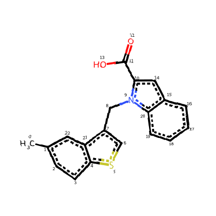 Cc1ccc2scc(Cn3c(C(=O)O)cc4ccccc43)c2c1